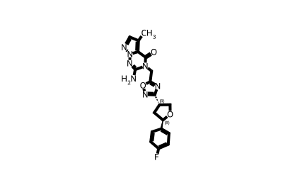 Cc1cnn2nc(N)n(Cc3nc([C@@H]4CO[C@@H](c5ccc(F)cc5)C4)no3)c(=O)c12